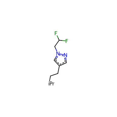 CC(C)CCc1cnn(CC(F)F)c1